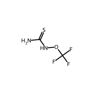 NC(=S)NOC(F)(F)F